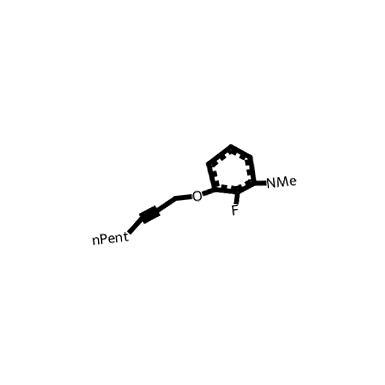 CCCCCC#CCOc1cccc(NC)c1F